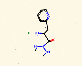 CNN(NC)C(=O)[C@@H](N)Cc1ccccn1.Cl